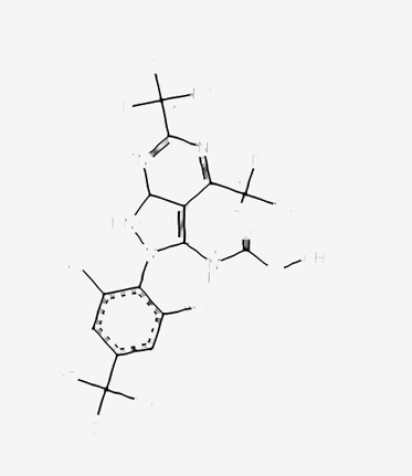 COC(=O)NC1=C2C(C(F)(F)F)=NC(C(F)(F)F)=NC2NN1c1c(Cl)cc(C(F)(F)F)cc1Cl